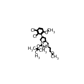 COCCNC[C@@H]1C[C@H](c2c(OC)ccc(Cl)c2Cl)CN1C(=O)OC(C)(C)C